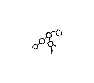 N#Cc1ccc(-c2cc(CC3CNCCO3)ccc2N2CCC(C3CCOC3)CC2)cc1F